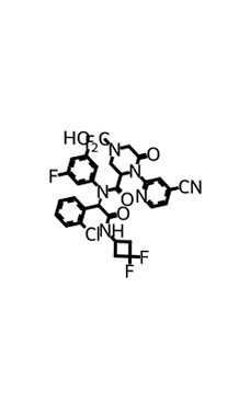 N#Cc1ccnc(N2C(=O)CN(C(=O)O)CC2C(=O)N(c2cc(F)cc(F)c2)[C@@H](C(=O)NC2CC(F)(F)C2)c2ccccc2Cl)c1